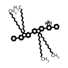 CCCCCCCCCCCCC1(CCCCCCCCCCCC)c2cc(-c3ccccc3)ccc2-c2ccc(-c3ccc4c(c3)C(CCCCCCCCCCCC)(CCCCCCCCCCCC)c3cc(-c5ccc(-c6ccccc6)c6nsnc56)ccc3-4)cc21